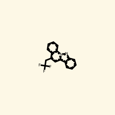 FC(F)(F)Cc1cc2c3ccccc3nn2c2ccccc12